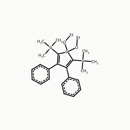 CCO[Si]1(OCC)C([Si](C)(C)C)=C(c2ccccc2)C(c2ccccc2)=C1[Si](C)(C)C